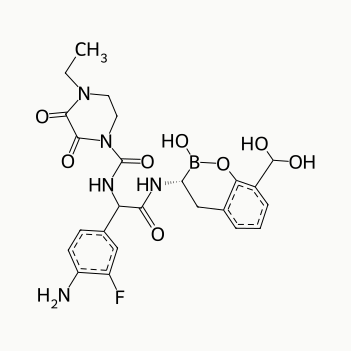 CCN1CCN(C(=O)NC(C(=O)N[C@H]2Cc3cccc(C(O)O)c3OB2O)c2ccc(N)c(F)c2)C(=O)C1=O